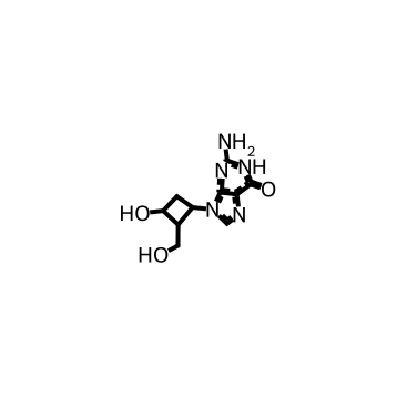 Nc1nc2c(ncn2C2CC(O)C2CO)c(=O)[nH]1